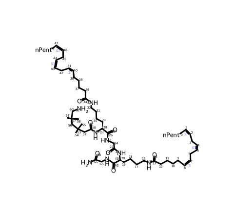 CCCCC/C=C\C/C=C\C/C=C\CCCCC(=O)NCCCC[C@H](NC(=O)CNC(=O)[C@H](CCCCNC(=O)CCCC/C=C\C/C=C\C/C=C\CCCCC)NC(=O)CC(C)(C)CC(C)(C)CN)C(=O)NCC(N)=O